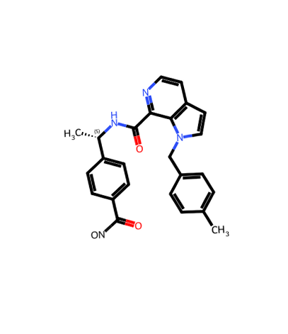 Cc1ccc(Cn2ccc3ccnc(C(=O)N[C@@H](C)c4ccc(C(=O)N=O)cc4)c32)cc1